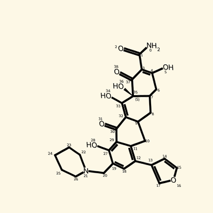 NC(=O)C1=C(O)CC2CC3Cc4c(-c5ccoc5)cc(CN5CCCCC5)c(O)c4C(=O)C3=C(O)[C@]2(O)C1=O